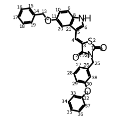 O=C1SC(=Cc2c[nH]c3ccc(OCc4ccccc4)cc23)C(=O)N1Cc1cccc(Oc2ccccc2)c1